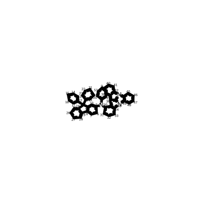 c1ccc(N(c2ccc3c(c2)C(c2ccccc2)(c2ccccc2)c2ccccc2-3)c2cccc3c2c2c4ccccc4n4c5ccccc5n3c24)cc1